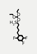 CCOC(OCC)O[SiH2]CCCCc1cc(F)c(F)cc1F